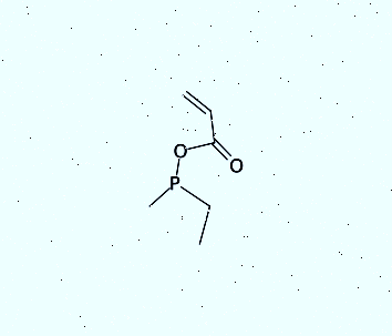 C=CC(=O)OP(C)CC